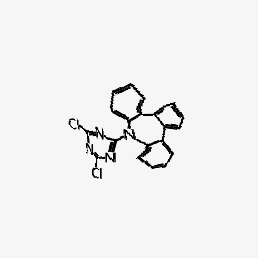 Clc1nc(Cl)nc(N2c3ccccc3-c3ccccc3-c3ccccc32)n1